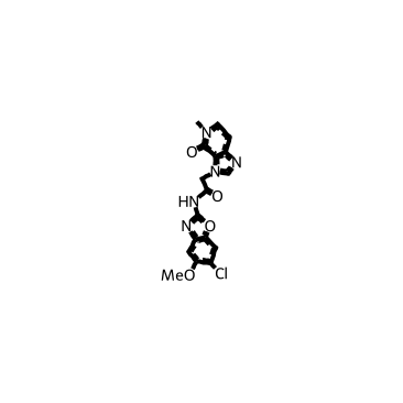 COc1cc2nc(NC(=O)Cn3cnc4ccn(C)c(=O)c43)oc2cc1Cl